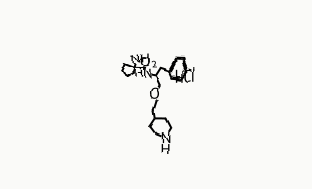 Cl.NC1(C(=O)NC(COCCC2CCNCC2)Cc2ccccc2)CCCC1